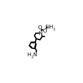 CC1CC(c2cccc(CN)c2)CCN1C(=O)O[SiH3]